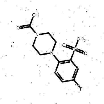 NS(=O)(=O)c1cc(F)ccc1N1CCN(C(=O)O)CC1